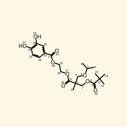 CC(C)OCC(C)(COC(=O)C(C)(C)C)C(=O)OCCOC(=O)c1ccc(O)c(O)c1